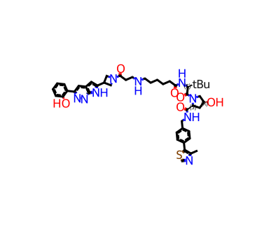 Cc1ncsc1-c1ccc(CNC(=O)[C@@H]2C[C@@H](O)CN2C(=O)[C@@H](NC(=O)CCCCCNCCC(=O)N2CC(c3cc4cc(-c5ccccc5O)nnc4[nH]3)C2)C(C)(C)C)cc1